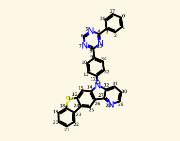 c1ccc(-c2ncnc(-c3ccc(-n4c5cc6sc7ccccc7c6cc5c5ncccc54)cc3)n2)cc1